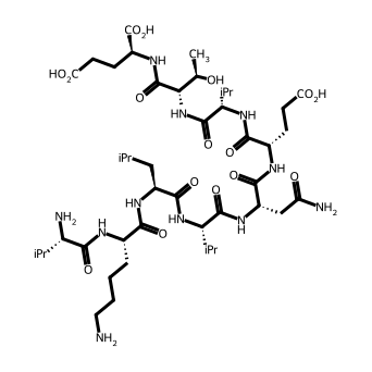 CC(C)C[C@H](NC(=O)[C@H](CCCCN)NC(=O)[C@@H](N)C(C)C)C(=O)N[C@H](C(=O)N[C@@H](CC(N)=O)C(=O)N[C@@H](CCC(=O)O)C(=O)N[C@H](C(=O)N[C@H](C(=O)N[C@@H](CCC(=O)O)C(=O)O)[C@@H](C)O)C(C)C)C(C)C